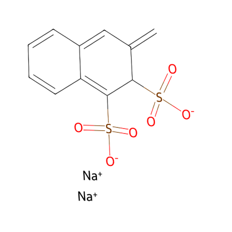 C=C1C=c2ccccc2=C(S(=O)(=O)[O-])C1S(=O)(=O)[O-].[Na+].[Na+]